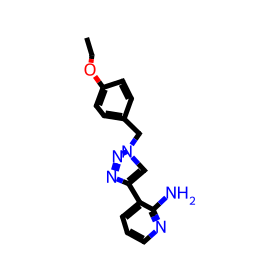 CCOc1ccc(Cn2cc(-c3cccnc3N)nn2)cc1